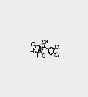 CN1C(=O)[C@@]23C[C@](C)(C#N)C(c4ccc(Cl)c(Cl)c4)N2C(=O)C1(C)SS3